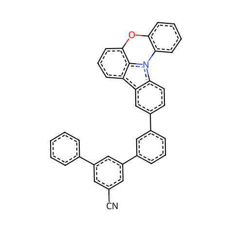 N#Cc1cc(-c2ccccc2)cc(-c2cccc(-c3ccc4c(c3)c3cccc5c3n4-c3ccccc3O5)c2)c1